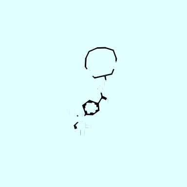 C=C[Si](CC)(CC)c1ccc(C(=O)OO[C]2CCCCCCCCCCC2)cc1